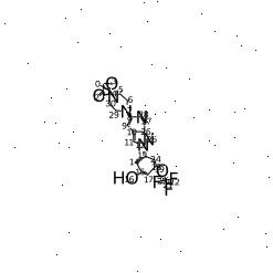 CS(=O)(=O)N1CCN(c2cc3cn(-c4cc(O)cc(OC(F)(F)F)c4)nc3cn2)CC1